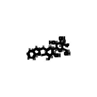 Cc1c(Cc2cc3ccccc3s2)cc([C@@H]2O[C@H](CO)C(F)(F)[C@H](O)[C@H]2O)c(O)c1C